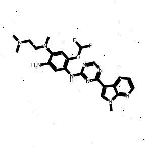 CN(C)CCN(C)c1cc(OC(F)F)c(Nc2ncnc(-c3cn(C)c4ncccc34)n2)cc1N